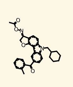 CC(=O)O/N=C1\COc2c1ccc1c2c2cc(C(=O)c3ccccc3C)ccc2n1CC1CCCCC1